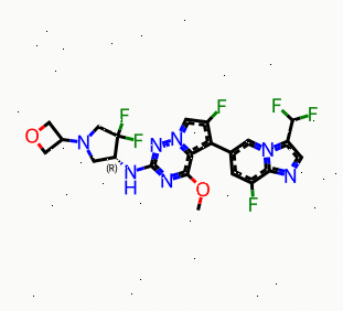 COc1nc(N[C@@H]2CN(C3COC3)CC2(F)F)nn2cc(F)c(-c3cc(F)c4ncc(C(F)F)n4c3)c12